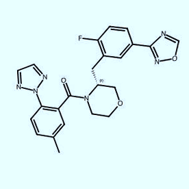 Cc1ccc(-n2nccn2)c(C(=O)N2CCOC[C@H]2Cc2cc(-c3ncon3)ccc2F)c1